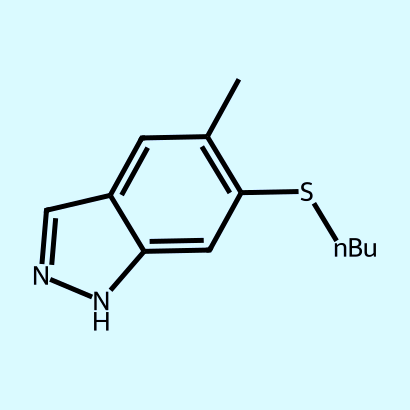 CCCCSc1cc2[nH]ncc2cc1C